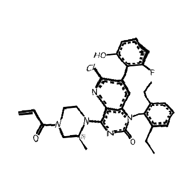 C=CC(=O)N1CCN(c2nc(=O)n(-c3c(CC)cccc3CC)c3cc(-c4c(O)cccc4F)c(Cl)nc23)[C@@H](C)C1